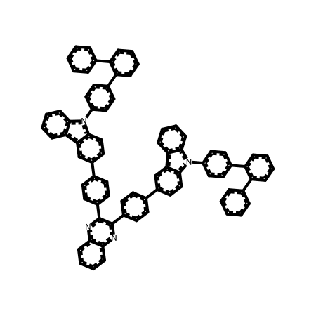 c1ccc(-c2ccccc2-c2ccc(-n3c4ccccc4c4cc(-c5ccc(-c6nc7ccccc7nc6-c6ccc(-c7ccc8c(c7)c7ccccc7n8-c7ccc(-c8ccccc8-c8ccccc8)cc7)cc6)cc5)ccc43)cc2)cc1